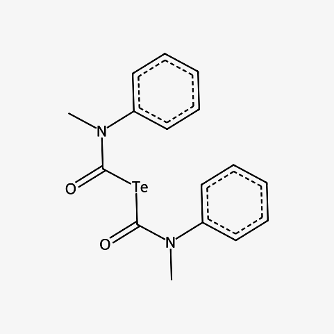 CN(C(=O)[Te]C(=O)N(C)c1ccccc1)c1ccccc1